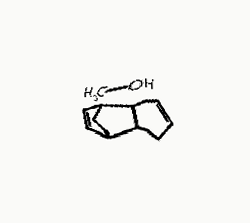 C1=CC2C3C=CC(C3)C2C1.CO